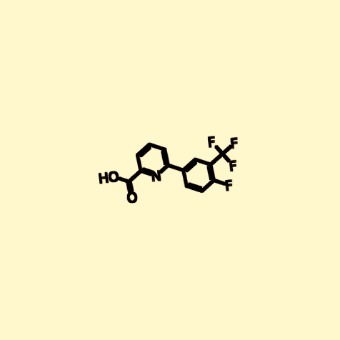 O=C(O)c1cccc(-c2ccc(F)c(C(F)(F)F)c2)n1